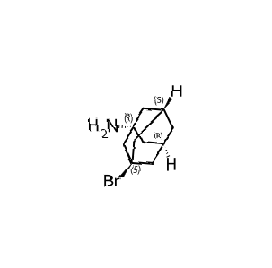 N[C@@]12C[C@H]3C[C@@H](C1)C[C@](Br)(C3)C2